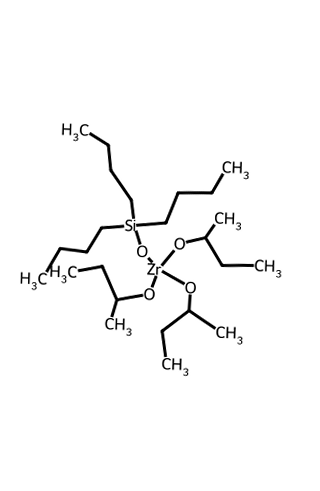 CCCC[Si](CCCC)(CCCC)[O][Zr]([O]C(C)CC)([O]C(C)CC)[O]C(C)CC